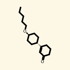 CCCCCO[C@H]1CC[C@H](C2=CC(=O)CCC2)CC1